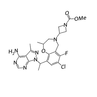 COC(=O)N1CC(N2Cc3c(F)c(Cl)cc(C(C)n4nc(C)c5c(N)ncnc54)c3OC(C)C2)C1